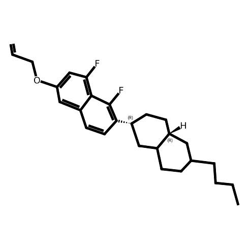 C=CCOc1cc(F)c2c(F)c([C@@H]3CC[C@@H]4CC(CCCC)CCC4C3)ccc2c1